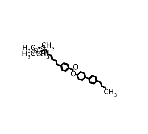 CCCCc1ccc(C2CCC(OC(=O)c3ccc(CCCCCC[Si](C)(C)C[Si](C)(C)C)cc3)CC2)cc1